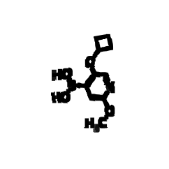 COc1cc(B(O)O)c(OC2CCC2)cn1